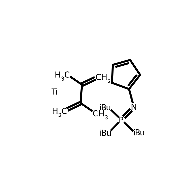 C=C(C)C(=C)C.CCC(C)P(=NC1=CC=CC1)(C(C)CC)C(C)CC.[Ti]